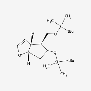 CC(C)(C)[Si](C)(C)OC[C@H]1C(O[Si](C)(C)C(C)(C)C)C[C@@H]2OC=C[C@@H]21